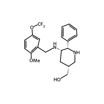 COc1ccc(OC(F)(F)F)cc1CN[C@H]1C[C@@H](CO)CN[C@H]1c1ccccc1